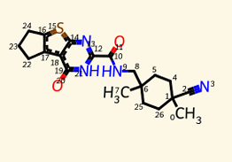 CC1(C#N)CCC(C)(CNC(=O)c2nc3sc4c(c3c(=O)[nH]2)CCC4)CC1